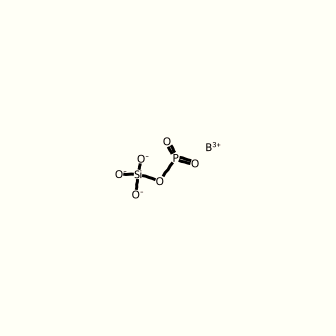 O=P(=O)O[Si]([O-])([O-])[O-].[B+3]